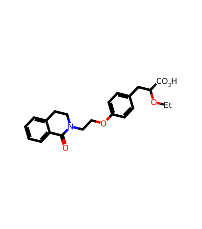 CCOC(Cc1ccc(OCCN2CCc3ccccc3C2=O)cc1)C(=O)O